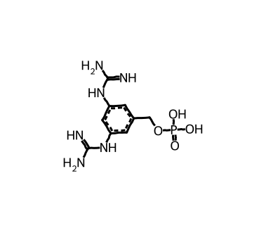 N=C(N)Nc1cc(COP(=O)(O)O)cc(NC(=N)N)c1